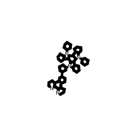 c1ccc(-n2c3ccccc3c3c2c2c4ccccc4n(-c4cccc(-c5ccc6c(c5)c5cccnc5c5ncccc65)c4)c2c2c4ccccc4n(-c4ccccc4)c32)cc1